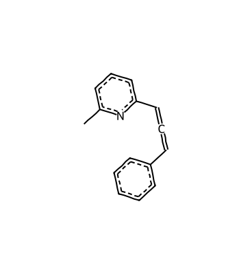 Cc1cccc(C=C=Cc2ccccc2)n1